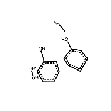 CC(C)=O.CCCO.Oc1ccccc1.Oc1ccccc1